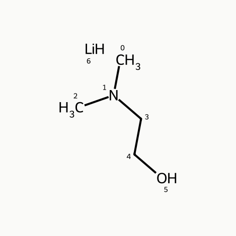 CN(C)CCO.[LiH]